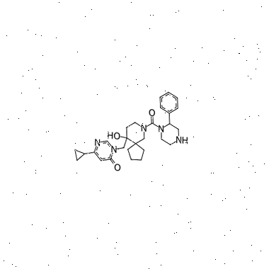 O=C(N1CCC(O)(Cn2cnc(C3CC3)cc2=O)C2(CCCC2)C1)N1CCNCC1c1ccccc1